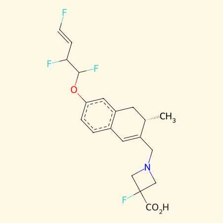 C[C@H]1Cc2cc(OC(F)C(F)C=CF)ccc2C=C1CN1CC(F)(C(=O)O)C1